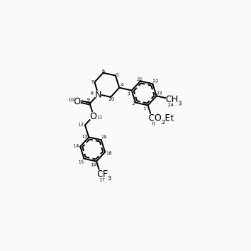 CCOC(=O)c1cc(C2CCCN(C(=O)OCc3ccc(C(F)(F)F)cc3)C2)ccc1C